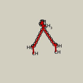 C#CC#CC#CC#CC(CC(=O)OCCOCCOCCOCCOCCOCCOCCOCCOCCOCCN(CCOCCOCCOCCOCCOCCOCCOCCOCCOCCOC(=O)CC(C#CC#CC#CC#C)C(=O)O)c1ccc(/N=N/c2ccc([N+](=O)[O-])cc2[N+](=O)[O-])c(NC(C)=O)c1)C(=O)O